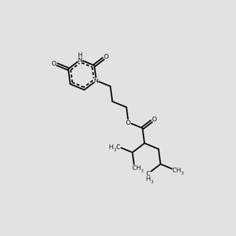 CC(C)CC(C(=O)OCCCn1ccc(=O)[nH]c1=O)C(C)C